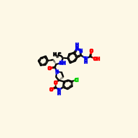 CC(N[C@@H](Cc1ccccc1)C(=O)N1CC[C@@]2(C1)OC(=O)Nc1ccc(Cl)cc12)c1ccc2c(NC(=O)O)n[nH]c2c1